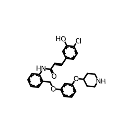 O=C(C=Cc1ccc(Cl)c(O)c1)Nc1ccccc1COc1cccc(OC2CCNCC2)c1